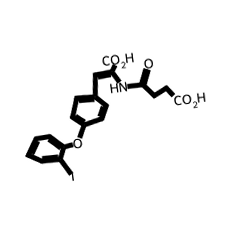 O=C(O)CCC(=O)NC(=Cc1ccc(Oc2ccccc2I)cc1)C(=O)O